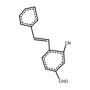 N#Cc1cc(C=O)ccc1C=Cc1ccccc1